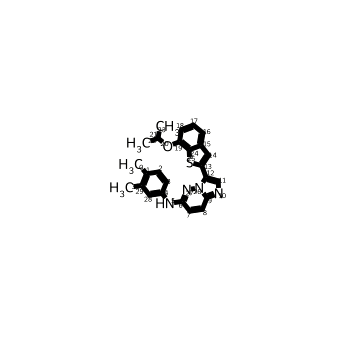 Cc1ccc(Nc2ccc3ncc(-c4cc5cccc(OC(C)C)c5s4)n3n2)cc1C